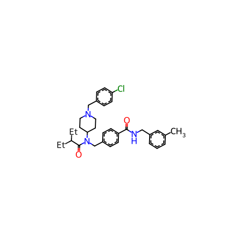 CCC(CC)C(=O)N(Cc1ccc(C(=O)NCc2cccc(C)c2)cc1)C1CCN(Cc2ccc(Cl)cc2)CC1